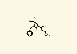 CCCC(Br)C1=CC(=C(Br)Br)N(Cc2ccccc2)C1=O